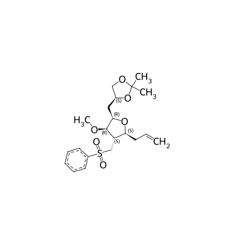 C=CC[C@@H]1O[C@H](C[C@H]2COC(C)(C)O2)[C@H](OC)[C@H]1CS(=O)(=O)c1ccccc1